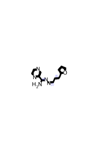 N\C(=N/N=C\C=C\c1ccco1)c1cnccn1